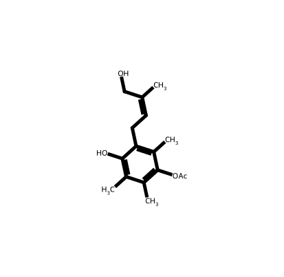 CC(=O)Oc1c(C)c(C)c(O)c(CC=C(C)CO)c1C